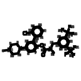 CN1CCN(c2ccc(OC(=O)N(C)Cc3cc(C(F)(F)F)cc(C(F)(F)F)c3)c(-c3ccccc3Cl)c2)CC1